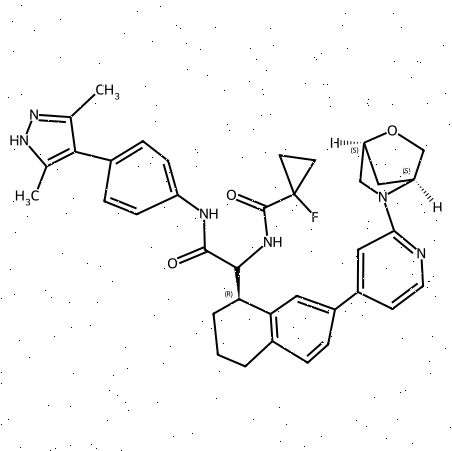 Cc1n[nH]c(C)c1-c1ccc(NC(=O)C(NC(=O)C2(F)CC2)[C@@H]2CCCc3ccc(-c4ccnc(N5C[C@@H]6C[C@H]5CO6)c4)cc32)cc1